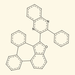 c1ccc(-c2nc3ccccc3nc2-c2oc3cccc4c3c2-c2ccccc2-c2ccccc2-4)cc1